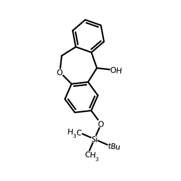 CC(C)(C)[Si](C)(C)Oc1ccc2c(c1)C(O)c1ccccc1CO2